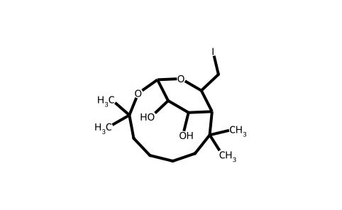 CC1(C)CCCCC(C)(C)C2C(CI)OC(O1)C(O)C2O